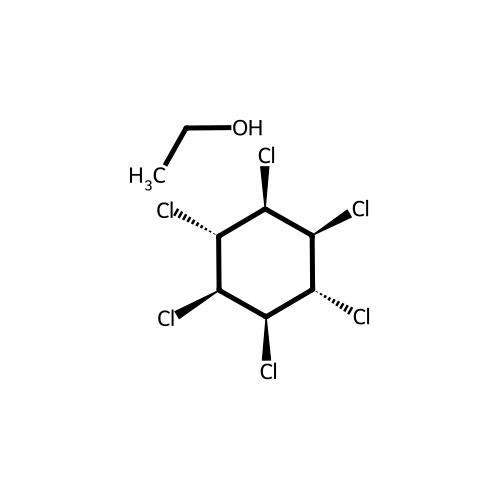 CCO.Cl[C@H]1[C@H](Cl)[C@@H](Cl)[C@@H](Cl)[C@H](Cl)[C@H]1Cl